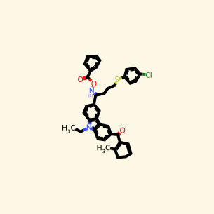 CCn1c2ccc(C(=O)C3=C(C)CCC=C3)cc2c2cc(/C(CCCSc3ccc(Cl)cc3)=N/OC(=O)c3ccccc3)ccc21